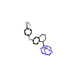 Cc1ccc(Sc2ccc3c(c2)CCCC3C2N3CN4CN(C3)CN2C4)cc1